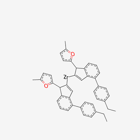 CCc1ccc(-c2cccc3c2C=[C]([Zr][C]2=Cc4c(-c5ccc(CC)cc5)cccc4C2c2ccc(C)o2)C3c2ccc(C)o2)cc1